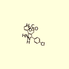 CS(=O)(=O)CC1=C(c2cccs2)NNC1c1ccc(Cl)cc1